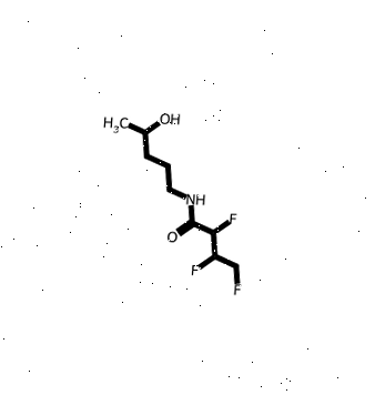 CC(O)CCCNC(=O)C(F)C(F)CF